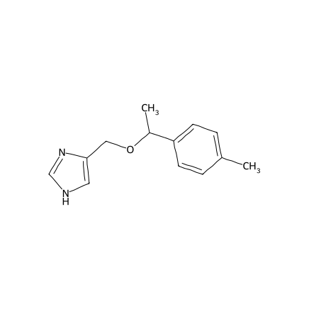 Cc1ccc(C(C)OCc2c[nH]cn2)cc1